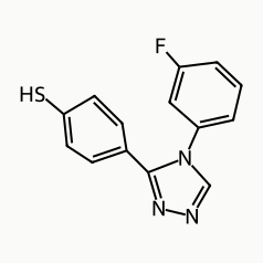 Fc1cccc(-n2cnnc2-c2ccc(S)cc2)c1